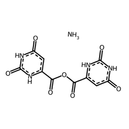 N.O=C(OC(=O)c1cc(=O)[nH]c(=O)[nH]1)c1cc(=O)[nH]c(=O)[nH]1